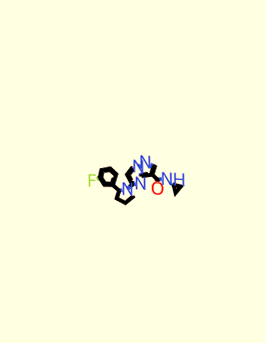 O=C(NC1CC1)c1cnn2ccc(N3CCCC3c3cccc(F)c3)nc12